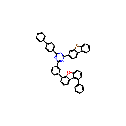 c1ccc(-c2ccc(-c3nc(-c4cccc(-c5cccc6c5oc5cccc(-c7ccccc7)c56)c4)nc(-c4ccc5c(c4)sc4ccccc45)n3)cc2)cc1